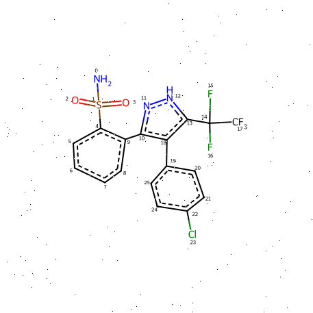 NS(=O)(=O)c1ccccc1-c1n[nH]c(C(F)(F)C(F)(F)F)c1-c1ccc(Cl)cc1